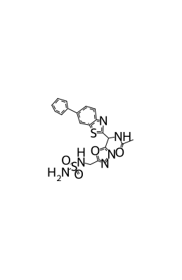 CC(=O)NC(c1nnc(CNS(N)(=O)=O)o1)c1nc2ccc(-c3ccccc3)cc2s1